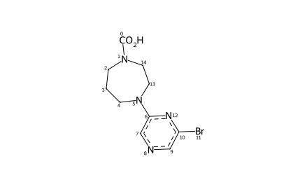 O=C(O)N1CCCN(c2cncc(Br)n2)CC1